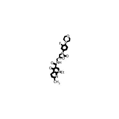 CCn1cc(C(=O)NC[C@H]2CN(c3ccc(N4CCOCC4)c(F)c3)C(=O)O2)c(=O)c2ccc(C)nc21